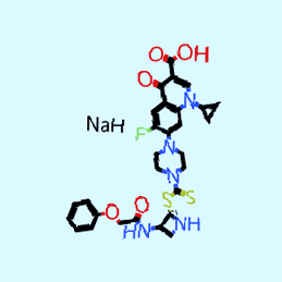 O=C(COc1ccccc1)NC1CN[C@H]1SC(=S)N1CCN(c2cc3c(cc2F)c(=O)c(C(=O)O)cn3C2CC2)CC1.[NaH]